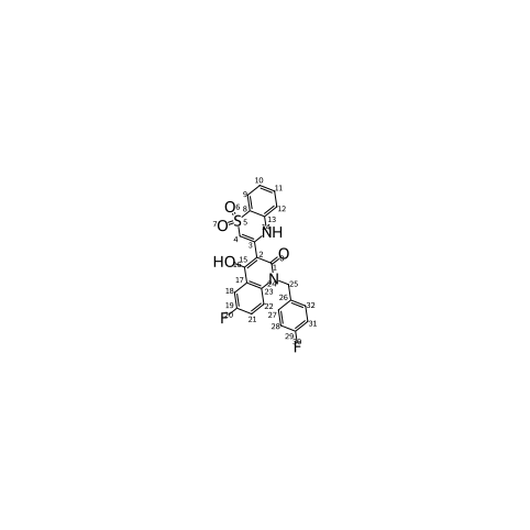 O=c1c(C2=CS(=O)(=O)c3ccccc3N2)c(O)c2cc(F)ccc2n1Cc1ccc(F)cc1